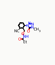 CCC(=O)NOCc1c(C#N)cccc1-n1nnn(C)c1=O